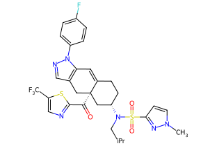 CC(C)CN([C@H]1CCC2=Cc3c(cnn3-c3ccc(F)cc3)C[C@]2(C(=O)c2ncc(C(F)(F)F)s2)C1)S(=O)(=O)c1ccn(C)n1